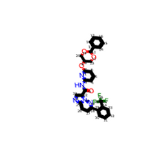 O=C(Nc1cccc(OC2COC(c3ccccc3)OC2)n1)c1cnc2ccc(-c3ccccc3C(F)(F)F)nn12